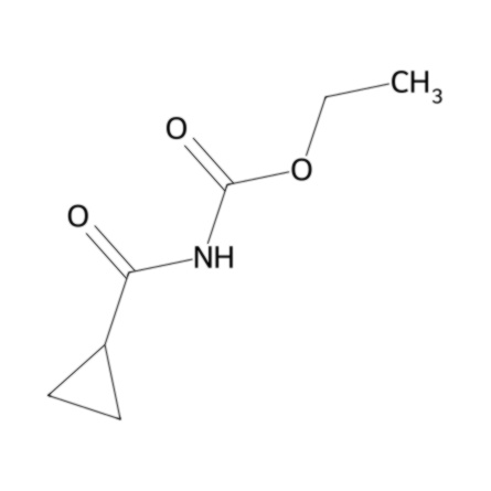 CCOC(=O)NC(=O)C1CC1